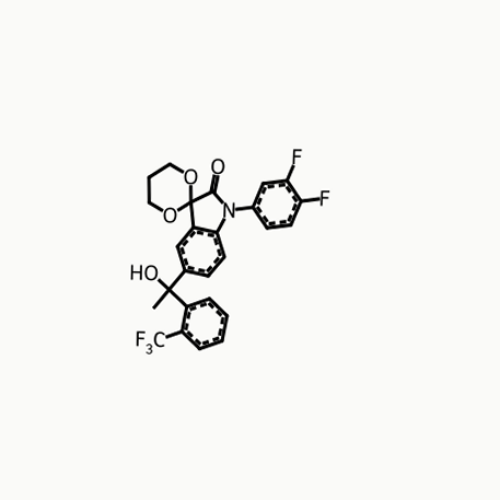 CC(O)(c1ccc2c(c1)C1(OCCCO1)C(=O)N2c1ccc(F)c(F)c1)c1ccccc1C(F)(F)F